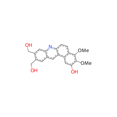 COc1c(O)cc2c(ccc3nc4cc(CO)c(CO)cc4cc32)c1OC